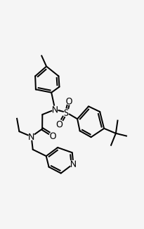 CCN(Cc1ccncc1)C(=O)CN(c1ccc(C)cc1)S(=O)(=O)c1ccc(C(C)(C)C)cc1